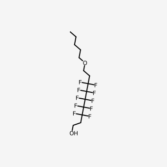 CCCCCOCCC(F)(F)C(F)(F)C(F)(F)C(F)(F)C(F)(F)CCO